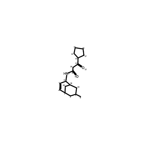 CC1CC2C=CC(NC(=O)CC(=O)C3CCCC3)C(C1)C2